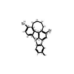 Cc1ccc2c(c1)c1cc(Br)c3c4c5c(c(Br)ccc5n2c14)CCCC3